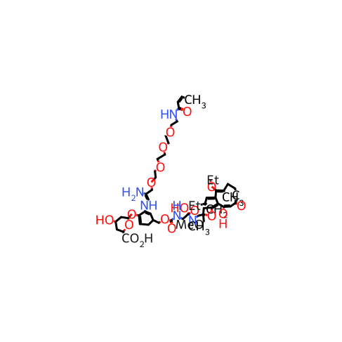 C=C(/C=C1C(/OCC)=C(\C)CCCC(=O)C=C(O)C/1=C1/CC(COC)(C2OC(O)(CNC(=O)OCC3C=C(N/C=C(\N)COCCOCCOCCOCCNC(=O)/C=C\C)C(OC4CC(O)CC(C(=O)O)O4)=CC3)N2C)O1)CC